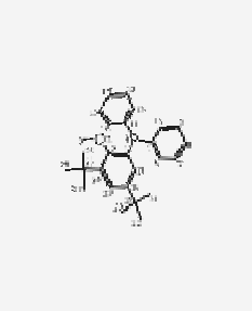 COc1c(P(c2ccccc2)c2ccccc2)cc(C(C)(C)C)cc1C(C)(C)C